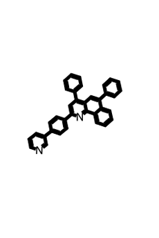 c1ccc(-c2cc3c(-c4ccccc4)cc(-c4ccc(-c5cccnc5)cc4)nc3c3ccccc23)cc1